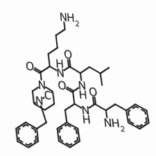 CC(C)CC(NC(=O)C(Cc1ccccc1)NC(=O)C(N)Cc1ccccc1)C(=O)NC(CCCCN)C(=O)N1CC2CCC1CN2Cc1ccccc1